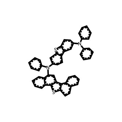 c1ccc(N(c2ccccc2)c2ccc3sc4cc(N(c5ccccc5)c5cc6c(sc7ccc8ccccc8c76)c6ccccc56)ccc4c3c2)cc1